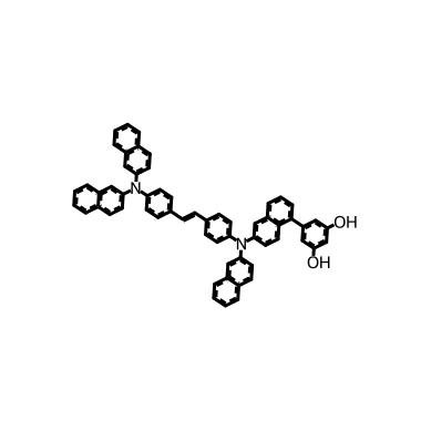 Oc1cc(O)cc(-c2cccc3cc(N(c4ccc(/C=C/c5ccc(N(c6ccc7ccccc7c6)c6ccc7ccccc7c6)cc5)cc4)c4ccc5ccccc5c4)ccc23)c1